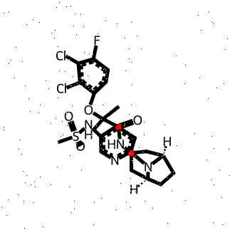 CC(C)(Oc1ccc(F)c(Cl)c1Cl)C(=O)N[C@H]1C[C@H]2CC[C@@H](C1)N2c1ccc(NS(C)(=O)=O)cn1